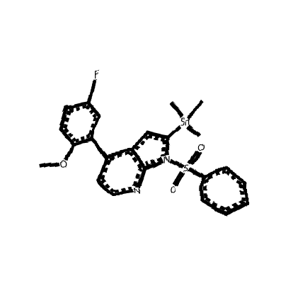 COc1ccc(F)cc1-c1ccnc2c1c[c]([Sn]([CH3])([CH3])[CH3])n2S(=O)(=O)c1ccccc1